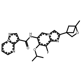 CC(C)Oc1c(NC(=O)c2cnn3cccnc23)cn2cc(C34COC(C)(C3)C4)nc2c1F